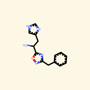 NC(Cc1c[nH]cn1)c1nc(Cc2ccccc2)no1